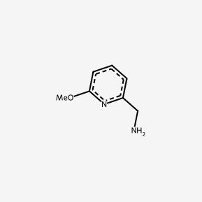 COc1cccc(CN)n1